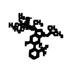 CC(C)Cn1cc([C@@H](C)N[S@@+]([O-])C(C)(C)C)c2cc(F)c(-c3ccccc3C(F)(F)F)cc21